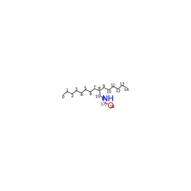 CCCCCCCCC(CCCCCC)CN[C]=O